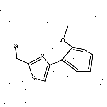 COc1ccccc1-c1csc(CBr)n1